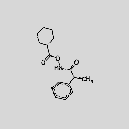 C[C@H](C(=O)NOC(=O)C1CCCCC1)c1ccccc1